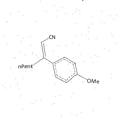 CCCCC/C(=C/C#N)c1ccc(OC)cc1